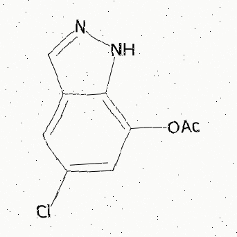 CC(=O)Oc1cc(Cl)cc2cn[nH]c12